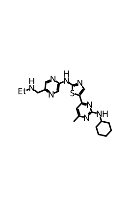 CCNCc1cnc(Nc2ncc(-c3cc(C)nc(NC4CCCCC4)n3)s2)cn1